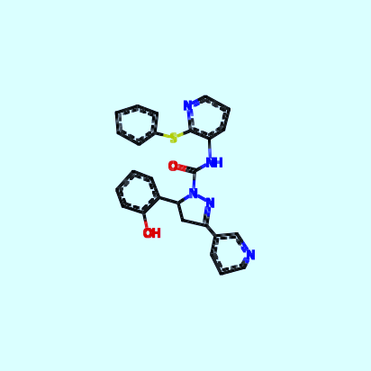 O=C(Nc1cccnc1Sc1ccccc1)N1N=C(c2cccnc2)CC1c1ccccc1O